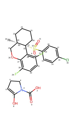 O=C(O)N1CCC=C1O.O=S(=O)(c1ccc(Cl)cc1)[C@@]12CCCC[C@@H]1COc1c(F)ccc(F)c12